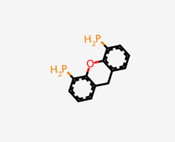 Pc1cccc2c1Oc1c(P)cccc1C2